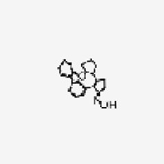 ON=C1CCC(C2CCCC2)=C1c1cccc2c1oc1ccccc12